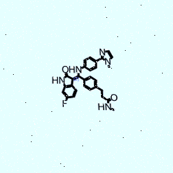 CNC(=O)CCc1ccc(/C(Nc2ccc(-c3nccn3C)cc2)=C2/C(=O)Nc3cc(F)ccc32)cc1